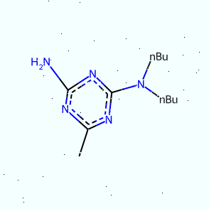 CCCCN(CCCC)c1nc(C)nc(N)n1